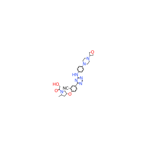 CC1CC(Oc2ccc(-c3ncnc(Nc4ccc(N5CCN(C6COC6)CC5)cc4)n3)cc2C#N)CN1C(=O)CO